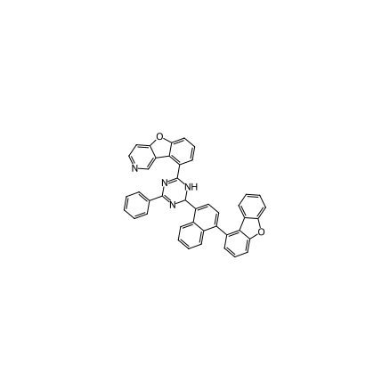 c1ccc(C2=NC(c3ccc(-c4cccc5oc6ccccc6c45)c4ccccc34)NC(c3cccc4oc5ccncc5c34)=N2)cc1